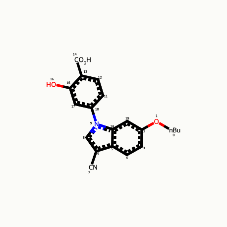 CCCCOc1ccc2c(C#N)cn(-c3ccc(C(=O)O)c(O)c3)c2c1